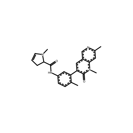 Cc1cc2c(cn1)cc(-c1cc(NC(=O)C3CC=CN3C)ccc1C)c(=O)n2C